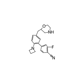 N#Cc1ccc(-c2cc(CC3CNCCO3)ccc2N2CCC2)cc1F